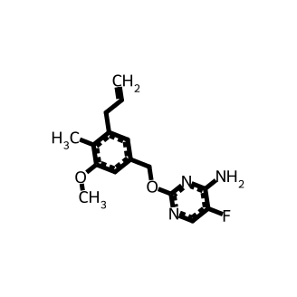 C=CCc1cc(COc2ncc(F)c(N)n2)cc(OC)c1C